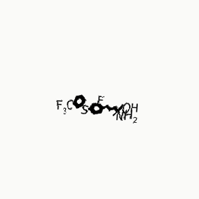 C[C@](N)(CO)CCCc1ccc(Sc2cccc(C(F)(F)F)c2)cc1F